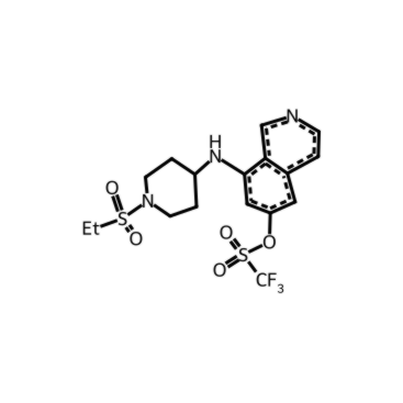 CCS(=O)(=O)N1CCC(Nc2cc(OS(=O)(=O)C(F)(F)F)cc3ccncc23)CC1